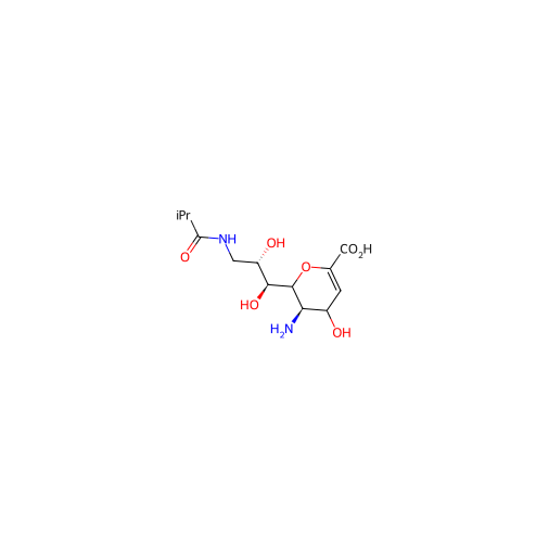 CC(C)C(=O)NC[C@H](O)[C@H](O)C1OC(C(=O)O)=CC(O)[C@H]1N